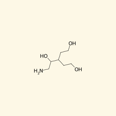 NCC(O)C(CCO)CCO